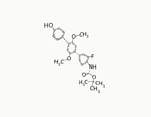 COc1cc(-c2ccc(NC(=O)OC(C)(C)C)c(F)c2)c(OC)cc1-c1ccc(O)cc1